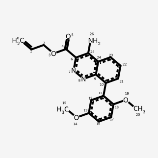 C=CCOC(=O)c1nnc2c(-c3cc(OC)ccc3OC)cccc2c1N